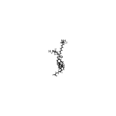 CC(C)CCC[C@@H](C)[C@H]1CC[C@H]2[C@@H]3CC=C4C[C@@H](OC(=O)N(CCCCCCCC(C)(C)N)CCC(C)(C)N)CC[C@]4(C)[C@H]3CC[C@]12C